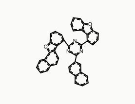 c1ccc2cc(-c3nc(-c4cccc5oc6ccccc6c45)nc(-c4cccc5oc6c7ccccc7ccc6c45)n3)ccc2c1